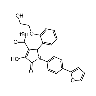 CC(C)(C)C(=O)C1=C(O)C(=O)N(c2ccc(-c3ccco3)cc2)C1c1ccccc1OCCO